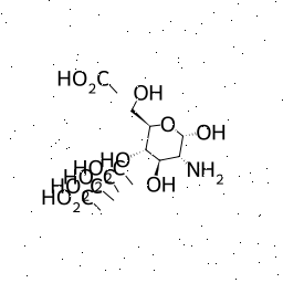 CC(=O)O.CC(=O)O.CC(=O)O.CC(=O)O.CC(=O)O.N[C@@H]1[C@@H](O)[C@H](O)[C@@H](CO)O[C@@H]1O